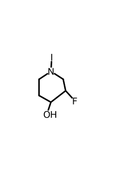 OC1CCN(I)CC1F